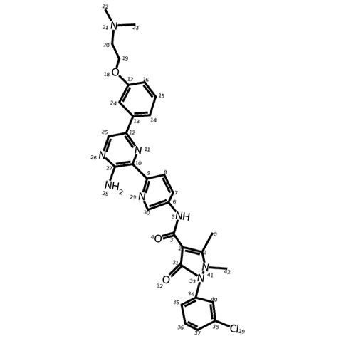 Cc1c(C(=O)Nc2ccc(-c3nc(-c4cccc(OCCN(C)C)c4)cnc3N)nc2)c(=O)n(-c2cccc(Cl)c2)n1C